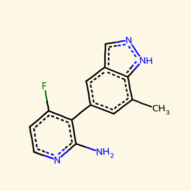 Cc1cc(-c2c(F)ccnc2N)cc2cn[nH]c12